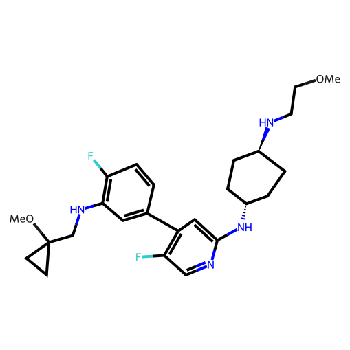 COCCN[C@H]1CC[C@H](Nc2cc(-c3ccc(F)c(NCC4(OC)CC4)c3)c(F)cn2)CC1